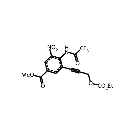 CCOC(=O)OCC#Cc1cc(C(=O)OC)cc([N+](=O)[O-])c1NC(=O)C(F)(F)F